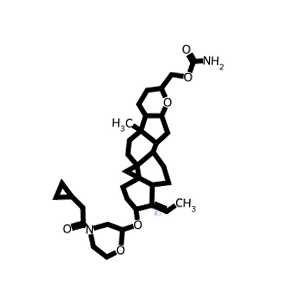 C/C=C1/C(OC2CN(C(=O)CC3CC3)CCO2)CCC23CC24CCC2(C)C5CCC(COC(N)=O)OC5CC2C4CCC13